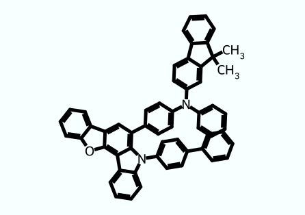 CC1(C)c2ccccc2-c2ccc(N(c3ccccc3)c3ccc(-c4cc5c6ccccc6oc5c5c6ccccc6n(-c6ccc(-c7ccccc7)cc6)c45)cc3)cc21